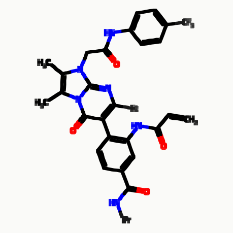 C=CC(=O)Nc1cc(C(=O)NC(C)C)ccc1-c1c(CC)nc2n(CC(=O)Nc3ccc(C(F)(F)F)cc3)c(C)c(C)n2c1=O